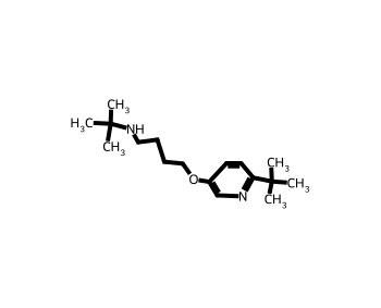 CC(C)(C)NCCCCOc1ccc(C(C)(C)C)nc1